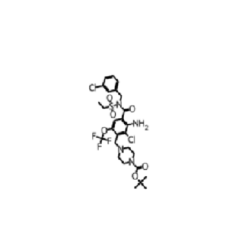 CCS(=O)(=O)N(Cc1cccc(Cl)c1)C(=O)c1cc(OC(F)(F)F)c(CN2CCN(C(=O)OC(C)(C)C)CC2)c(Cl)c1N